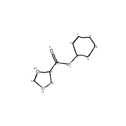 O=C(OC1CCCCC1)C1COCO1